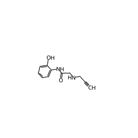 C#CCNCC(=O)Nc1ccccc1O